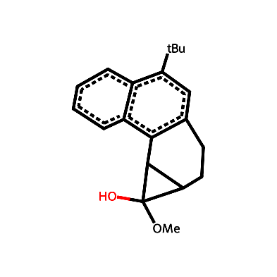 COC1(O)C2CCc3cc(C(C)(C)C)c4ccccc4c3C21